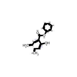 C=C/C=C(O)\C(=C/C=C)C(=O)Oc1ccccc1